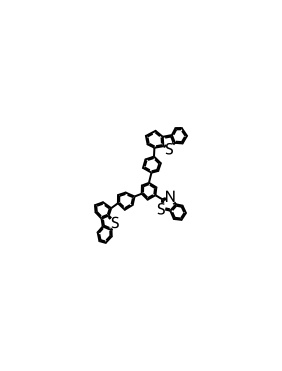 c1ccc2sc(-c3cc(-c4ccc(-c5cccc6c5sc5ccccc56)cc4)cc(-c4ccc(-c5cccc6c5sc5ccccc56)cc4)c3)nc2c1